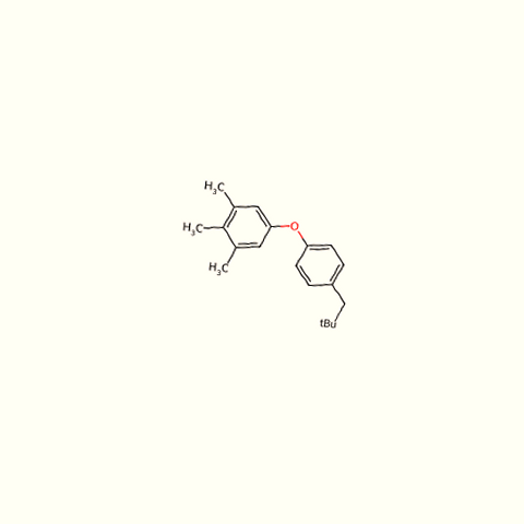 Cc1cc(Oc2ccc(CC(C)(C)C)cc2)cc(C)c1C